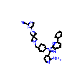 N#Cc1nccc(N2CC3(CN(Cc4ccc(-n5c(-c6cccnc6N)nc6ccc(-c7ccccc7)nc65)cc4)C3)C2)n1